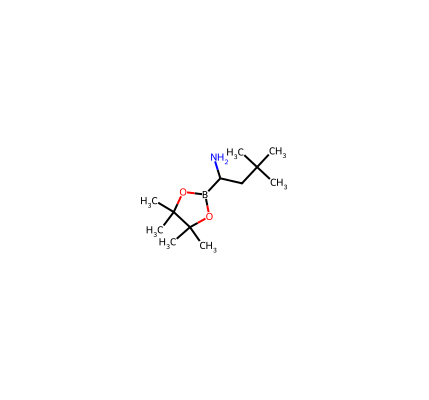 CC(C)(C)CC(N)B1OC(C)(C)C(C)(C)O1